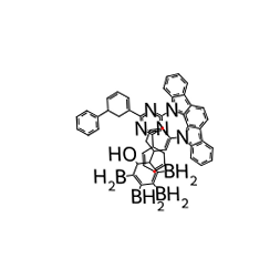 BC1=C(B)C(O)C(C2C=C(n3c4ccccc4c4ccc5c6ccccc6n(-c6nc(C7=CC=CC(c8ccccc8)C7)nc(C7C=CC=CC7)n6)c5c43)C=CC2)C(B)=C1B